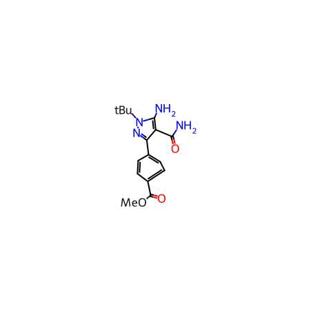 COC(=O)c1ccc(-c2nn(C(C)(C)C)c(N)c2C(N)=O)cc1